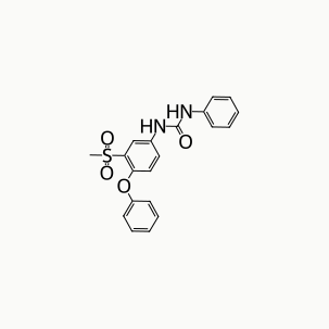 CS(=O)(=O)c1cc(NC(=O)Nc2ccccc2)ccc1Oc1ccccc1